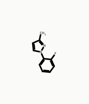 Cc1ccn(-c2ccccc2F)n1